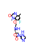 Cc1cc(F)c(OCCNC[C@H]2CN(C3=CN=CCN3)C(=O)O2)c2c1ncc(=O)n2C